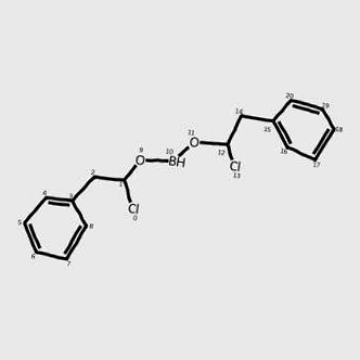 ClC(Cc1ccccc1)OBOC(Cl)Cc1ccccc1